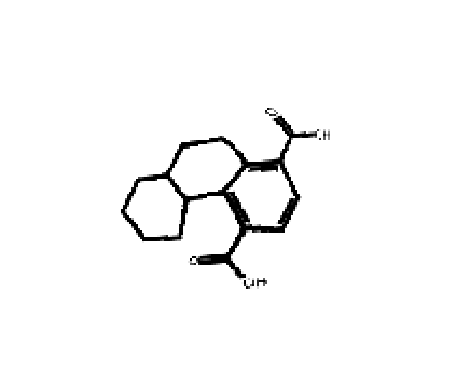 O=C(O)c1ccc(C(=O)O)c2c1CCC1CCCCC21